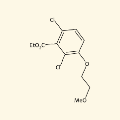 CCOC(=O)c1c(Cl)ccc(OCCOC)c1Cl